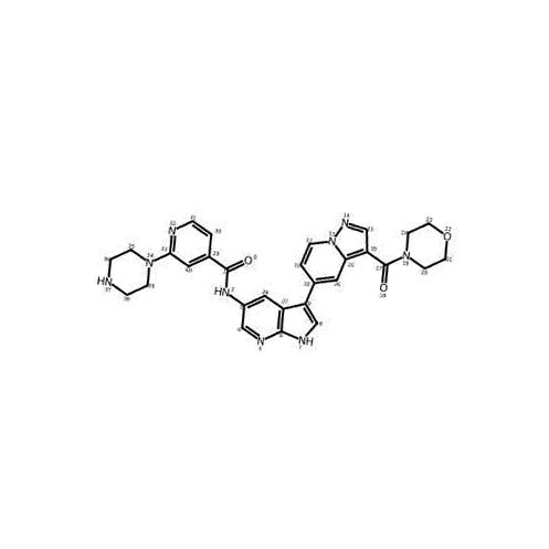 O=C(Nc1cnc2[nH]cc(-c3ccn4ncc(C(=O)N5CCOCC5)c4c3)c2c1)c1ccnc(N2CCNCC2)c1